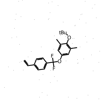 C=Cc1ccc(C(F)(F)Oc2cc(C)c(OC(C)(C)C)c(C)c2)cc1